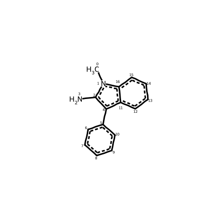 Cn1c(N)c(-c2ccccc2)c2ccccc21